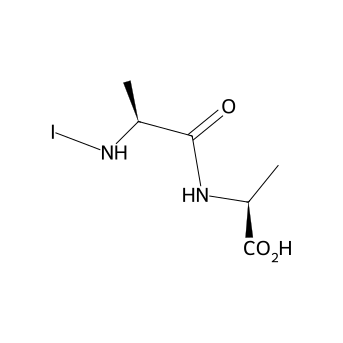 C[C@H](NC(=O)[C@H](C)NI)C(=O)O